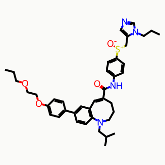 CCCOCCOc1ccc(-c2ccc3c(c2)C=C(C(=O)Nc2ccc([S@@+]([O-])Cc4cncn4CCC)cc2)CCCN3CC(C)C)cc1